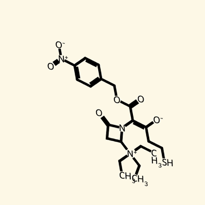 CC[N+](CC)(CC)C1CC(=O)N1/C(C(=O)OCc1ccc([N+](=O)[O-])cc1)=C(/[O-])CCS